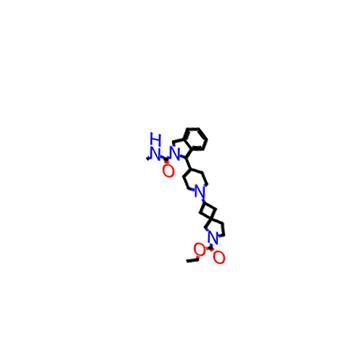 CCOC(=O)N1CCC2(CC(N3CCC(C4c5ccccc5CN4C(=O)NC)CC3)C2)C1